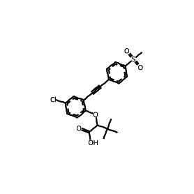 CC(C)(C)C(Oc1ccc(Cl)cc1C#Cc1ccc(S(C)(=O)=O)cc1)C(=O)O